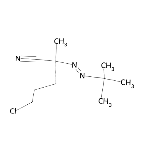 CC(C)(C)N=NC(C)(C#N)CCCCl